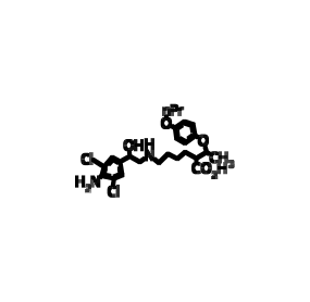 CCCOc1ccc(OC(C)C(CCCCNCC(O)c2cc(Cl)c(N)c(Cl)c2)C(=O)O)cc1